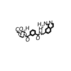 Nc1nccc2ccc(CNC(=O)c3cccc(C(=O)N4CCN(CC(=O)O)CC4)c3)cc12